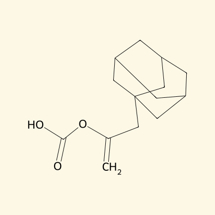 C=C(CC12CC3CC(CC(C3)C1)C2)OC(=O)O